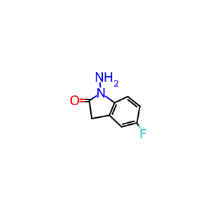 NN1C(=O)Cc2cc(F)ccc21